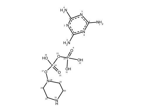 Nc1nc(N)nc(N)n1.O=P(O)(O)OP(=O)(O)ON1CCNCC1